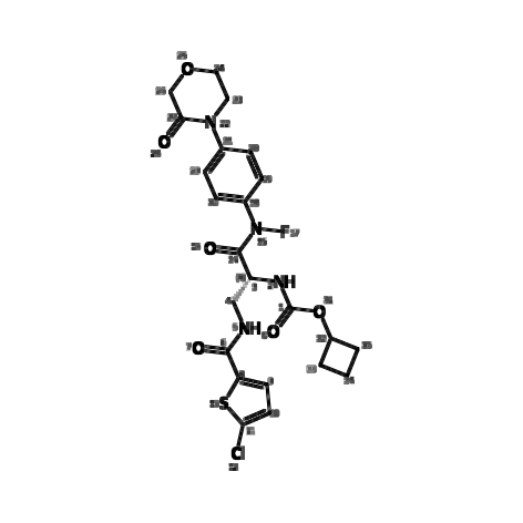 O=C(N[C@H](CNC(=O)c1ccc(Cl)s1)C(=O)N(F)c1ccc(N2CCOCC2=O)cc1)OC1CCC1